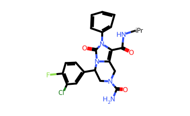 CC(C)NC(=O)c1c2n(c(=O)n1-c1ccccc1)C(c1ccc(F)c(Cl)c1)CN(C(N)=O)C2